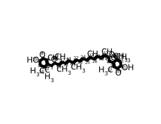 COC(CC1=C(C)C(=O)C(O)CC1(C)C)/C(C)=C/C=C/C(C)=C/C=C/C=C(C)/C=C/C=C(\C)C(CC1=C(C)C(=O)C(O)CC1(C)C)OC